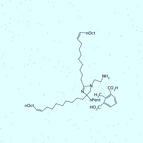 CCCCCCCC/C=C\CCCCCCCCC1=NC(CCCCC)(CCCCCCCC/C=C\CCCCCCCC)CN1CCN.Cc1c(C(=O)O)cccc1C(=O)O